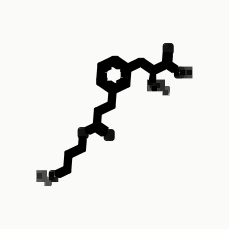 CCCCOC(=O)CCc1cccc(C[C@H](N)C(=O)O)c1